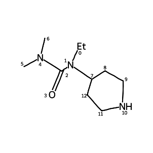 CCN(C(=O)N(C)C)C1CCNCC1